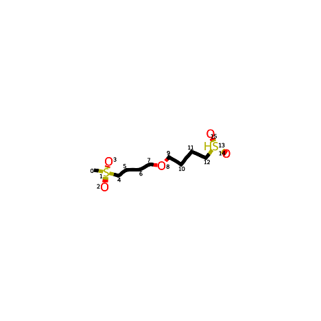 CS(=O)(=O)CCCCOCCCC[SH](=O)=O